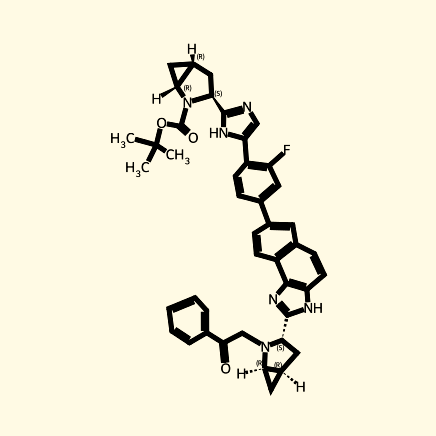 CC(C)(C)OC(=O)N1[C@@H]2C[C@@H]2C[C@H]1c1ncc(-c2ccc(-c3ccc4c(ccc5[nH]c([C@@H]6C[C@H]7C[C@H]7N6CC(=O)c6ccccc6)nc54)c3)cc2F)[nH]1